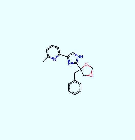 Cc1cccc(-c2c[nH]c(C3(Cc4ccccc4)COCO3)n2)n1